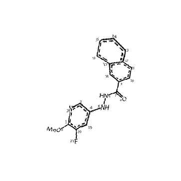 COc1ncc(NNC(=O)c2ccc3ccccc3c2)cc1F